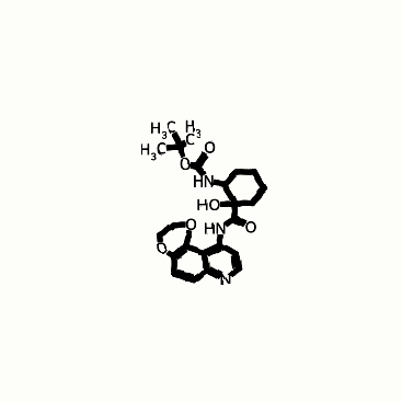 CC(C)(C)OC(=O)NC1CCCCC1(O)C(=O)Nc1ccnc2ccc3c(c12)OCCO3